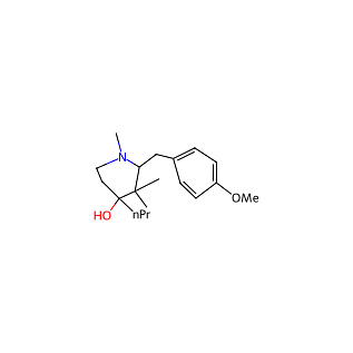 CCCC1(O)CCN(C)C(Cc2ccc(OC)cc2)C1(C)C